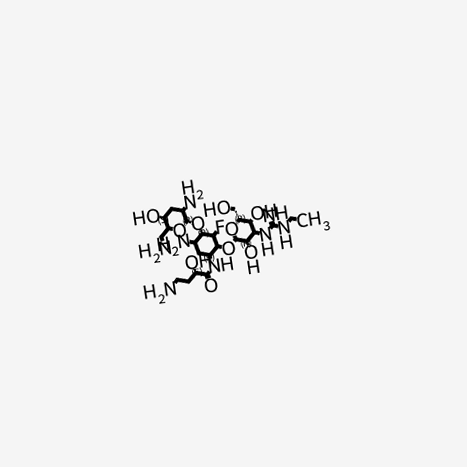 CCNC(=N)NC1C(O)[C@@H](CO)OC(OC2C(F)[C@H](O[C@H]3OC(CN)[C@@H](O)CC3N)C(N)C[C@H]2NC(=O)[C@@H](O)CCN)[C@@H]1O